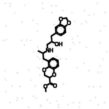 COC(=O)C1COc2c(CC(C)NCC(O)Cc3ccc4c(c3)OCO4)cccc2O1